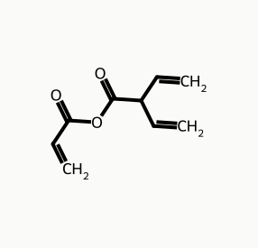 C=CC(=O)OC(=O)C(C=C)C=C